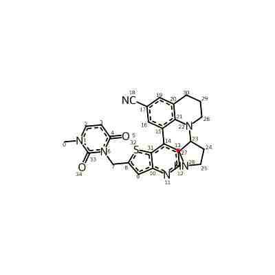 Cn1ccc(=O)n(Cc2cc3nccc(-c4cc(C#N)cc5c4N(C4CCNC4)CCC5)c3s2)c1=O